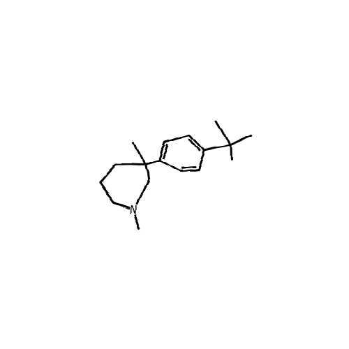 CN1CCCC(C)(c2ccc(C(C)(C)C)cc2)C1